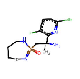 C[C@](N)(CS1(=O)=NCCCCN1)c1nc(Br)ccc1F